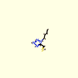 CCCCn1nnnc1C=S